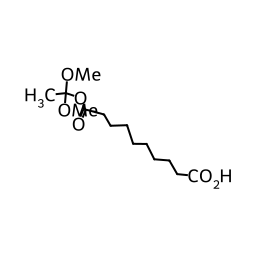 COC(C)(OC)OC(=O)CCCCCCCCC(=O)O